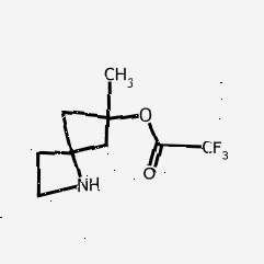 CC1(OC(=O)C(F)(F)F)CC2(CCN2)C1